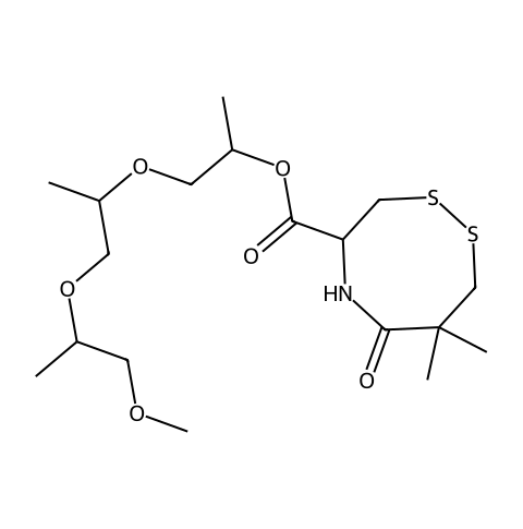 COCC(C)OCC(C)OCC(C)OC(=O)C1CSSCC(C)(C)C(=O)N1